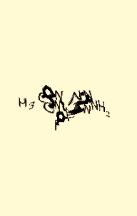 Cc1cccc2nc(CCn3cnc4c(N)ncnc43)n(-c3cc(F)cc(F)c3)c(=O)c12